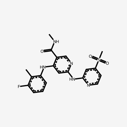 CNC(=O)c1cnc(Nc2cc(S(C)(=O)=O)ccn2)cc1Nc1cccc(F)c1C